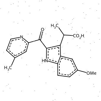 COc1ccc2[nH]c(C(=O)c3cc(C)ccn3)c(C(C)C(=O)O)c2c1